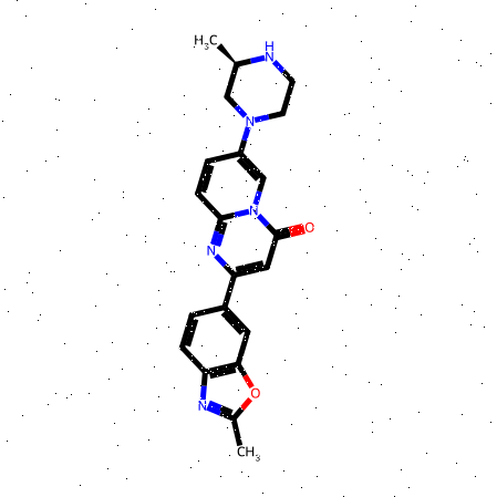 Cc1nc2ccc(-c3cc(=O)n4cc(N5CCN[C@H](C)C5)ccc4n3)cc2o1